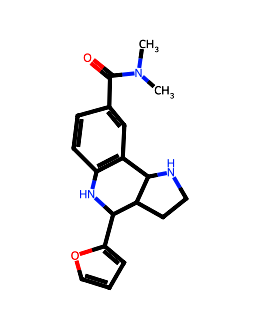 CN(C)C(=O)c1ccc2c(c1)C1NCCC1C(c1ccco1)N2